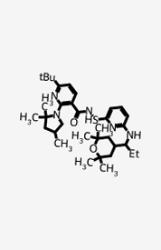 CCC(Nc1cccc(SNC(=O)c2ccc(C(C)(C)C)nc2N2CC(C)CC2(C)C)n1)C1CC(C)(C)OC(C)(C)C1